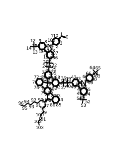 C=Cc1ccc(-n2c3ccc(C(C)(C)C)cc3c3cc(C(C)(C)C(C)(C)c4ccc(C5(c6ccc(C(C)(C)C(C)(C)c7ccc8c(c7)c7cc(C(C)(C)C)ccc7n8-c7ccc(C(C)(C)C)cc7)cc6)c6ccccc6-c6cc7c(cc65)-c5ccccc5C7=C(CCCCCCC)CCCCCCC)cc4)ccc32)cc1